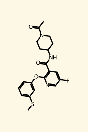 CSc1cccc(Oc2ncc(F)cc2C(=O)NC2CCN(C(C)=O)CC2)c1